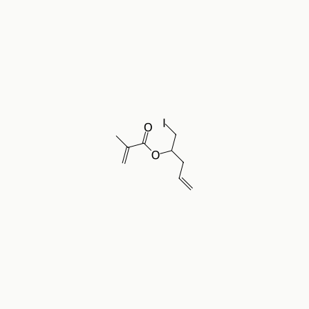 C=CCC(CI)OC(=O)C(=C)C